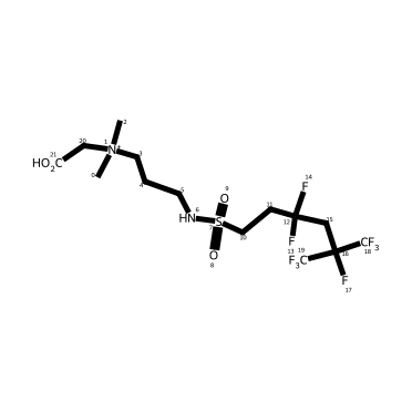 C[N+](C)(CCCNS(=O)(=O)CCC(F)(F)CC(F)(C(F)(F)F)C(F)(F)F)CC(=O)O